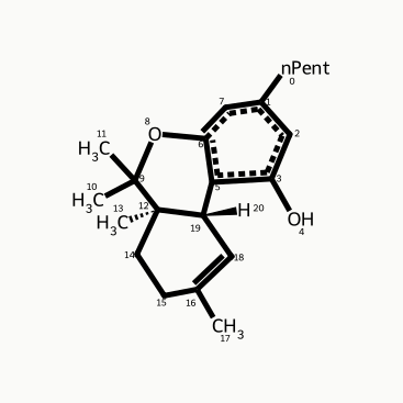 CCCCCc1cc(O)c2c(c1)OC(C)(C)[C@]1(C)CCC(C)=C[C@@H]21